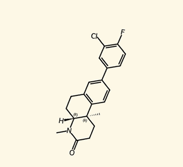 CN1C(=O)CC[C@]2(C)c3ccc(-c4ccc(F)c(Cl)c4)cc3CC[C@@H]12